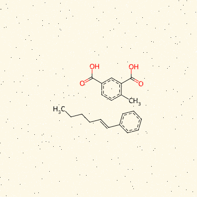 CCCCC=Cc1ccccc1.Cc1ccc(C(=O)O)cc1C(=O)O